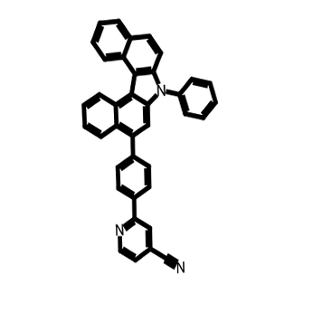 N#Cc1ccnc(-c2ccc(-c3cc4c(c5ccccc35)c3c5ccccc5ccc3n4-c3ccccc3)cc2)c1